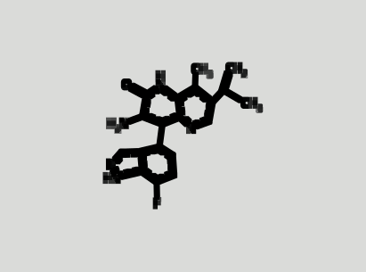 C=C(C)c1cnc2c(-c3ccc(F)c4[nH]ncc34)c(N)c(=O)[nH]c2c1C